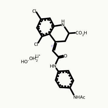 CC(=O)Nc1ccc(NC(=O)/C=C2\CC(C(=O)O)Nc3cc(Cl)cc(Cl)c32)cc1.O.[Li+].[OH-]